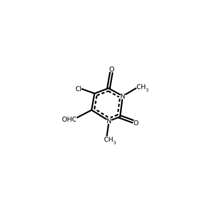 Cn1c(C=O)c(Cl)c(=O)n(C)c1=O